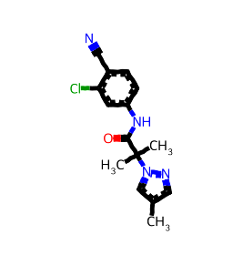 Cc1cnn(C(C)(C)C(=O)Nc2ccc(C#N)c(Cl)c2)c1